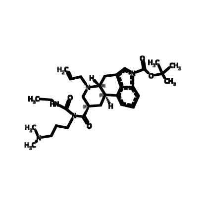 C=CCN1C[C@H](C(=O)N(CCCN(C)C)C(=O)NCC)C[C@@H]2c3cccc4c3c(cn4C(=O)OC(C)(C)C)C[C@H]21